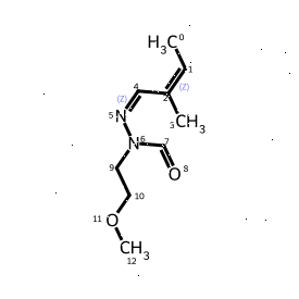 C/C=C(C)\C=N/N(C=O)CCOC